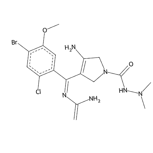 C=C(N)/N=C(\C1=C(N)CN(C(=O)NN(C)C)C1)c1cc(OC)c(Br)cc1Cl